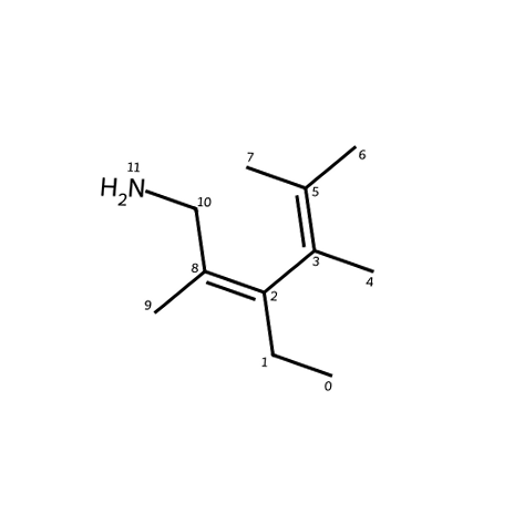 CC/C(C(C)=C(C)C)=C(\C)CN